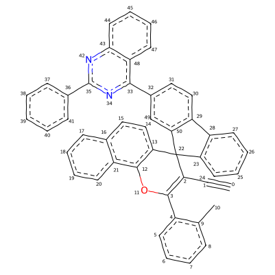 C#CC1=C(c2ccccc2C)Oc2c(ccc3ccccc23)C12c1ccccc1-c1ccc(-c3nc(-c4ccccc4)nc4ccccc34)cc12